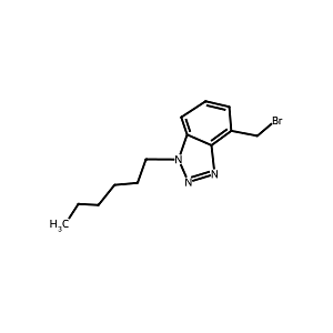 CCCCCCn1nnc2c(CBr)cccc21